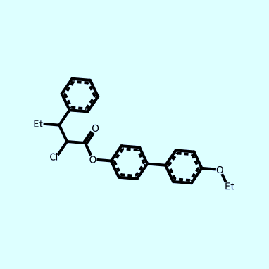 CCOc1ccc(-c2ccc(OC(=O)C(Cl)C(CC)c3ccccc3)cc2)cc1